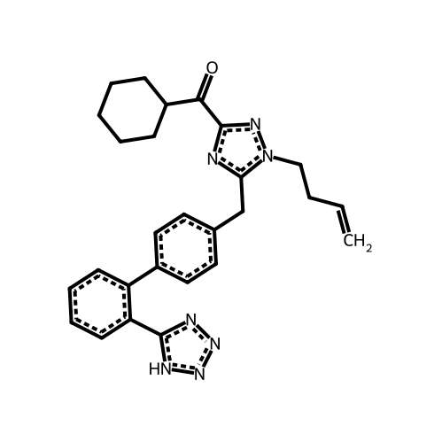 C=CCCn1nc(C(=O)C2CCCCC2)nc1Cc1ccc(-c2ccccc2-c2nnn[nH]2)cc1